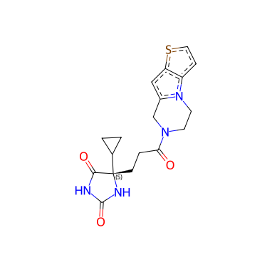 O=C1NC(=O)[C@](CCC(=O)N2CCn3c(cc4sccc43)C2)(C2CC2)N1